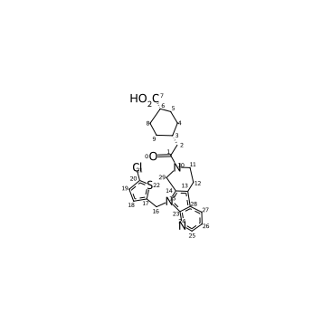 O=C(C[C@H]1CC[C@@H](C(=O)O)CC1)N1CCc2c(n(Cc3ccc(Cl)s3)c3ncccc23)C1